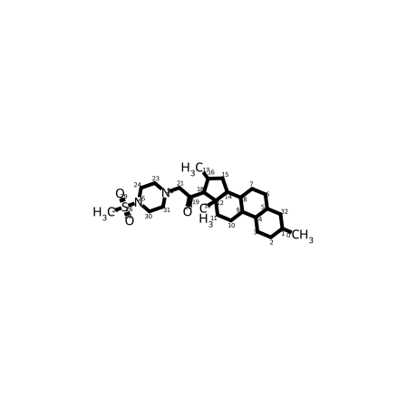 CC1CCC2C(CCC3C2CCC2(C)C3CC(C)C2C(=O)CN2CCN(S(C)(=O)=O)CC2)C1